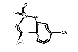 N#Cc1ccc2c(c1)NS(=O)(=O)N=C2N